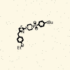 CCOc1ccc(Cc2csc(N3CCN(S(=O)(=O)c4ccc(C(C)(C)C)cc4)CC3)n2)cc1